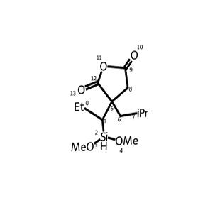 CCC([SiH](OC)OC)C1(CC(C)C)CC(=O)OC1=O